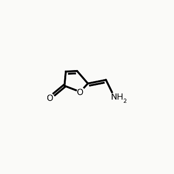 NC=C1C=CC(=O)O1